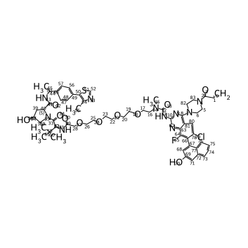 C=CC(=O)N1CCN(c2nc(NC(=O)N(C)CCOCCOCCOCCOCC(=O)N[C@H](C(=O)N3C[C@@H](O)C[C@H]3C(=O)N[C@@H](C)c3ccc(-c4scnc4C)cc3)C(C)(C)C)nc3c(F)c(-c4cc(O)cc5ccccc45)c(Cl)cc23)CC1